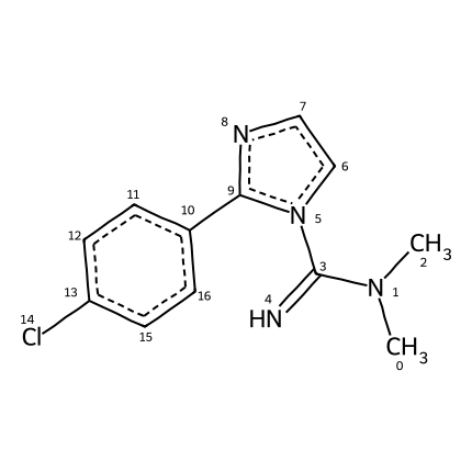 CN(C)C(=N)n1ccnc1-c1ccc(Cl)cc1